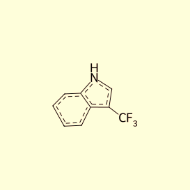 FC(F)(F)c1c[nH]c2ccccc12